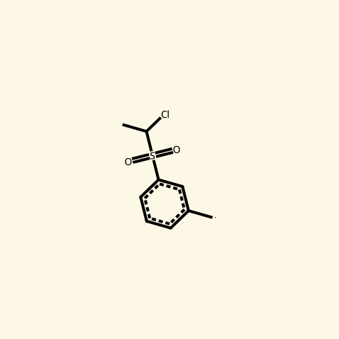 [CH2]c1cccc(S(=O)(=O)C(C)Cl)c1